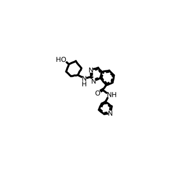 O=C(Nc1cccnc1)c1cccc2cnc(NC3CCC(O)CC3)nc12